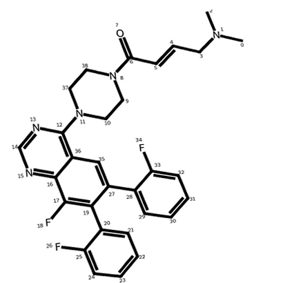 CN(C)CC=CC(=O)N1CCN(c2ncnc3c(F)c(-c4ccccc4F)c(-c4ccccc4F)cc23)CC1